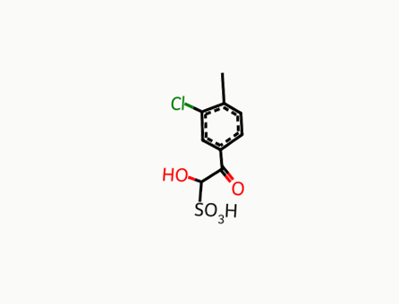 Cc1ccc(C(=O)C(O)S(=O)(=O)O)cc1Cl